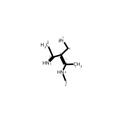 CC(=N)/C(CC(C)C)=C(/C)NI